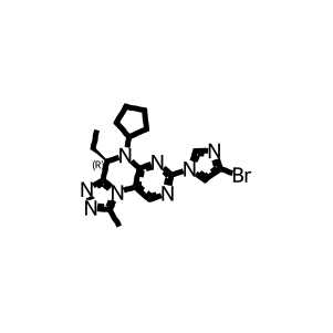 CC[C@@H]1c2nnc(C)n2-c2cnc(-n3cnc(Br)c3)nc2N1C1CCCC1